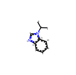 CC(C)n1cnc2ccccc21